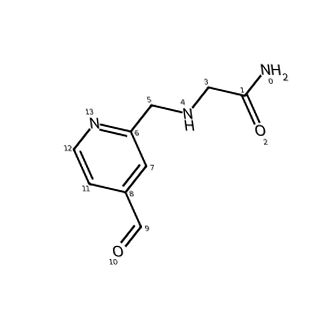 NC(=O)CNCc1cc(C=O)ccn1